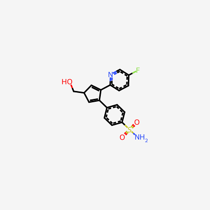 NS(=O)(=O)c1ccc(C2=CC(CO)C=C2c2ccc(F)cn2)cc1